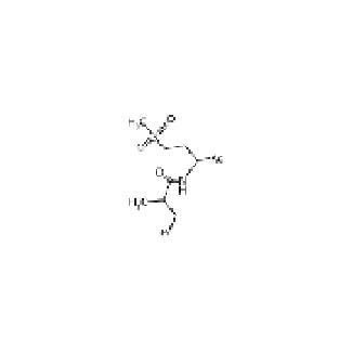 CC(=O)C(CCS(C)(=O)=O)NC(=O)C(C)CC(C)C